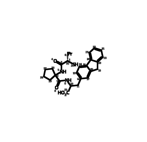 CC(C)[C@H](S)C(=O)NC1(C(=O)NC(Cc2ccc3c(c2)Cc2ccccc2-3)C(=O)O)CCCC1